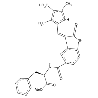 COC(=O)[C@@H](Cc1ccccc1)NC(=O)c1ccc2c(c1)/C(=C/c1[nH]c(C)c(C(=O)O)c1C)C(=O)N2